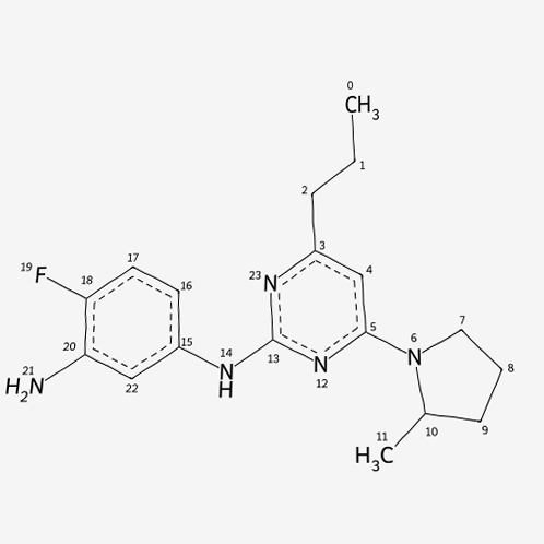 CCCc1cc(N2CCCC2C)nc(Nc2ccc(F)c(N)c2)n1